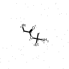 CCC(C)(N)OC(=O)CC(C)C